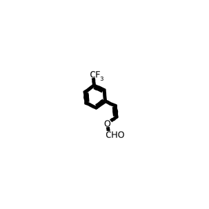 O=CO/C=C\c1cccc(C(F)(F)F)c1